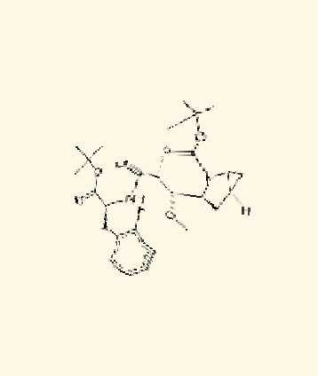 CO[C@H]([C@@H](C)C(=O)N[C@@H](Cc1ccccc1F)C(=O)OC(C)(C)C)[C@@H]1C[C@@H]2CC2N1C(=O)OC(C)(C)C